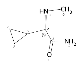 CN[C@H](C(N)=O)C1CC1